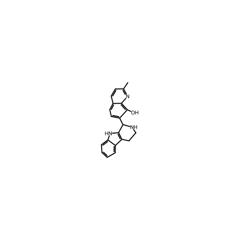 Cc1ccc2ccc(C3NCCc4c3[nH]c3ccccc43)c(O)c2n1